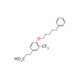 O=C(O)CCc1ccc(OCCCCCc2ccccc2)c(C(F)(F)F)c1